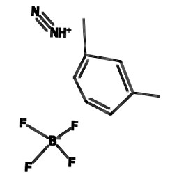 Cc1cccc(C)c1.F[B-](F)(F)F.N#[NH+]